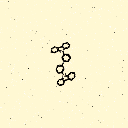 C1=C(c2cccc(-n3c4ccccc4c4ccccc43)c2)C=C(n2c3ccccc3c3ccccc32)CC1